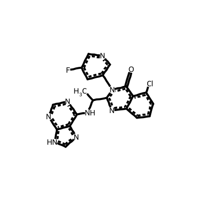 CC(Nc1ncnc2[nH]cnc12)c1nc2cccc(Cl)c2c(=O)n1-c1cncc(F)c1